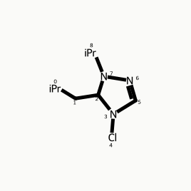 CC(C)CC1N(Cl)C=NN1C(C)C